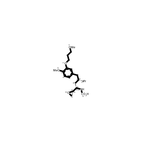 COCCCOc1cc(C[C@@H](C[C@H](NC(=O)O)[C@@H]2CO2)C(C)C)ccc1OC